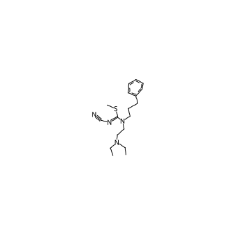 CCN(CC)CCN(CCCc1ccccc1)/C(=N/C#N)SC